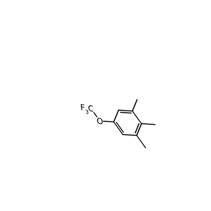 Cc1cc(OC(F)(F)F)cc(C)c1C